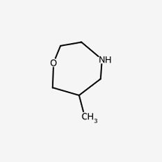 CC1CNCCOC1